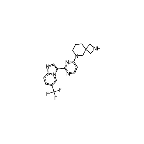 FC(F)(F)c1ccc2ncc(-c3nccc(N4CCCC5(CNC5)C4)n3)n2c1